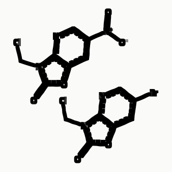 O=c1oc2cc(Br)cnc2n1CCl.O=c1oc2cc([N+](=O)[O-])cnc2n1CCl